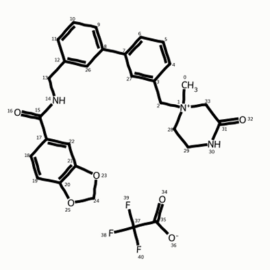 C[N+]1(Cc2cccc(-c3cccc(CNC(=O)c4ccc5c(c4)OCO5)c3)c2)CCNC(=O)C1.O=C([O-])C(F)(F)F